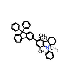 Cc1cc(-c2ccc3c(c2)-c2ccccc2C3(c2ccccc2)c2ccccc2)c(C)c2c1N(c1ccccc1)C1(C)CCCCC21C